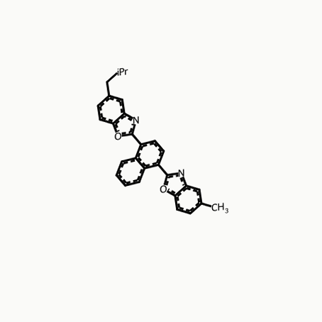 Cc1ccc2oc(-c3ccc(-c4nc5cc(CC(C)C)ccc5o4)c4ccccc34)nc2c1